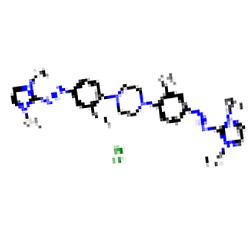 Cc1cc(/N=N/c2n(C)cc[n+]2C)ccc1N1CCN(c2ccc(/N=N/c3n(C)cc[n+]3C)cc2C)CC1.[Br-].[Br-]